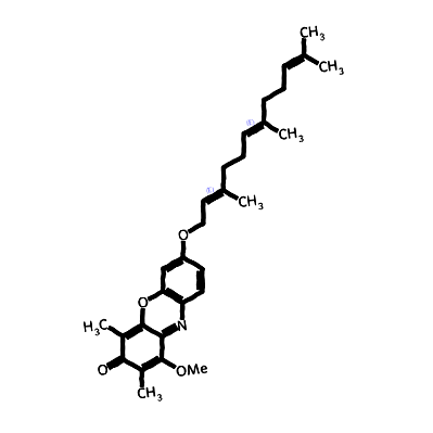 COc1c2nc3ccc(OC/C=C(\C)CC/C=C(\C)CCC=C(C)C)cc3oc-2c(C)c(=O)c1C